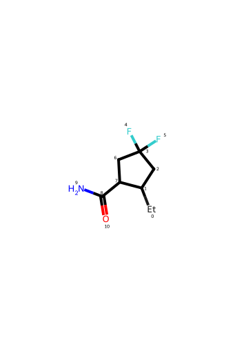 CCC1CC(F)(F)CC1C(N)=O